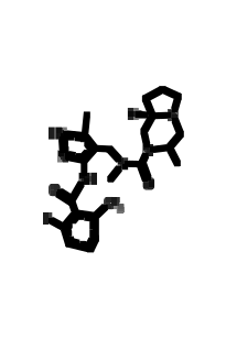 Cc1[nH]nc(NC(=O)c2c(F)cccc2C(F)(F)F)c1CN(C)C(=O)N1C[C@@H]2CCCN2CC1C